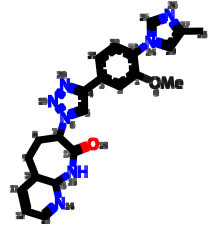 COc1cc(-c2cn(C3CCC4C=CC=NC4NC3=O)nn2)ccc1-n1cnc(C)c1